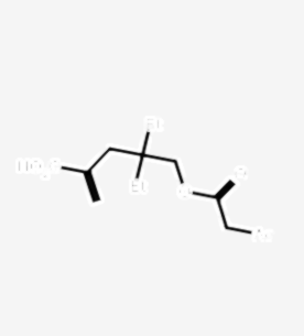 C=C(CC(CC)(CC)COC(=O)CC(C)=O)C(=O)O